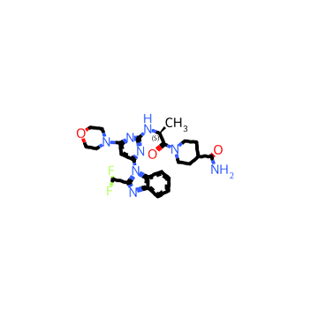 C[C@H](Nc1nc(N2CCOCC2)cc(-n2c(C(F)F)nc3ccccc32)n1)C(=O)N1CCC(C(N)=O)CC1